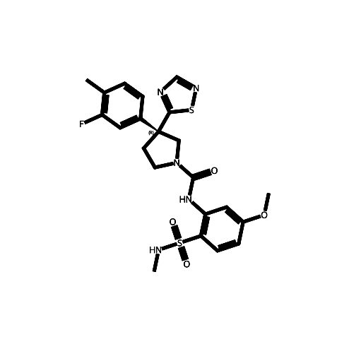 CNS(=O)(=O)c1ccc(OC)cc1NC(=O)N1CC[C@](c2ccc(C)c(F)c2)(c2ncns2)C1